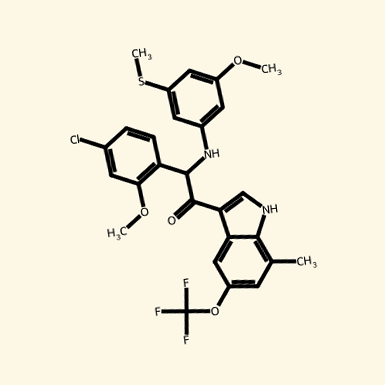 COc1cc(NC(C(=O)c2c[nH]c3c(C)cc(OC(F)(F)F)cc23)c2ccc(Cl)cc2OC)cc(SC)c1